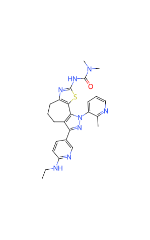 CCNc1ccc(-c2nn(-c3cccnc3C)c3c2CCCc2nc(NC(=O)N(C)C)sc2-3)cn1